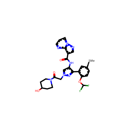 CSc1ccc(OC(F)F)c(-c2nn(CC(=O)N3CCC(O)CC3)cc2NC(=O)c2cnn3cccnc23)c1